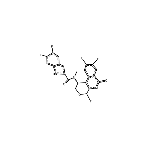 CN(C(=O)c1cc2cc(F)c(F)cc2[nH]1)[C@@H]1COC(F)c2[nH]c(=O)c3cc(F)c(F)cc3c21